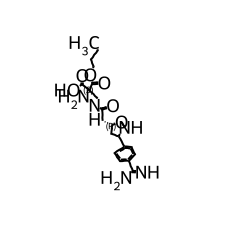 CCCCOC(=O)[C@](N)(CNC(=O)C[C@H]1CC(c2ccc(C(=N)N)cc2)NO1)C(=O)O